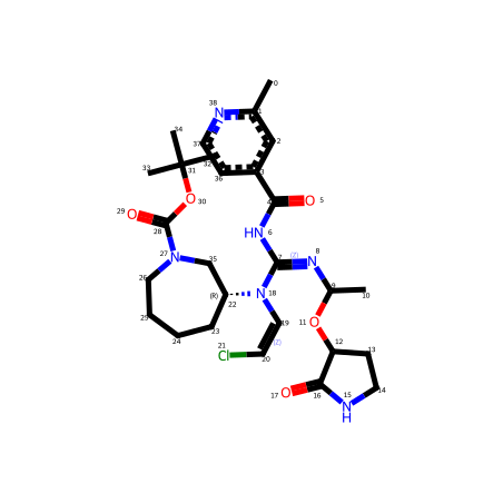 Cc1cc(C(=O)N/C(=N/C(C)OC2CCNC2=O)N(/C=C\Cl)[C@@H]2CCCCN(C(=O)OC(C)(C)C)C2)ccn1